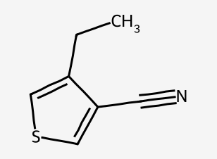 CCc1cscc1C#N